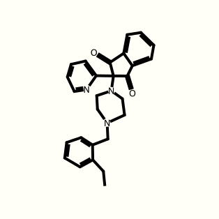 CCc1ccccc1CN1CCN(C2(c3ccccn3)C(=O)c3ccccc3C2=O)CC1